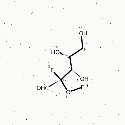 O=C[C@@](F)(OF)[C@@H](O)[C@H](O)CO